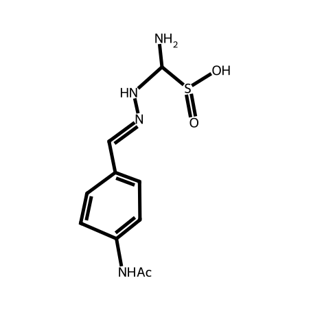 CC(=O)Nc1ccc(/C=N/NC(N)S(=O)O)cc1